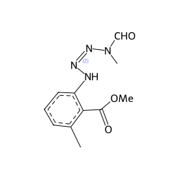 COC(=O)c1c(C)cccc1N/N=N\N(C)C=O